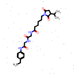 BCc1ccc(NC(=O)CNC(=O)CNC(=O)CCCCCN2C(=O)CC(C(C)C)C2=O)cc1